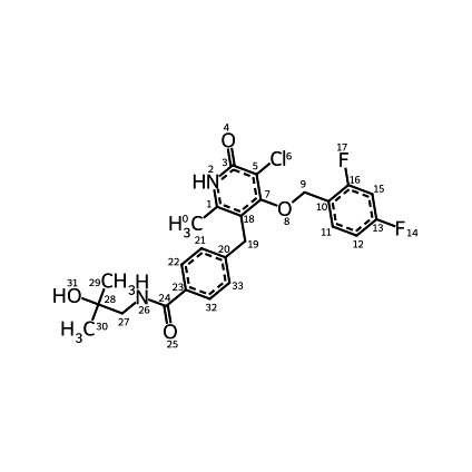 Cc1[nH]c(=O)c(Cl)c(OCc2ccc(F)cc2F)c1Cc1ccc(C(=O)NCC(C)(C)O)cc1